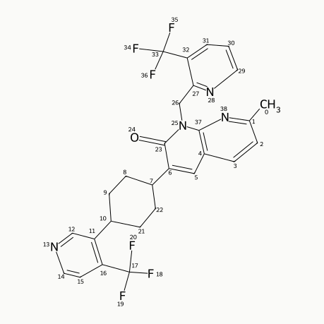 Cc1ccc2cc(C3CCC(c4cnccc4C(F)(F)F)CC3)c(=O)n(Cc3ncccc3C(F)(F)F)c2n1